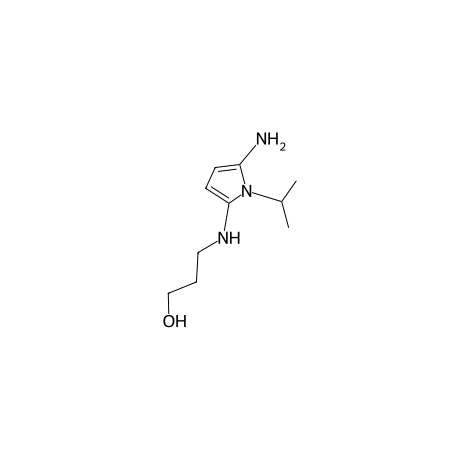 CC(C)n1c(N)ccc1NCCCO